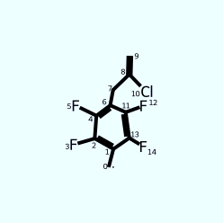 [CH2]c1c(F)c(F)c(CC(=C)Cl)c(F)c1F